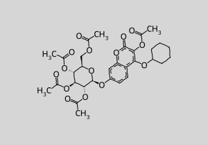 CC(=O)OC[C@H]1O[C@@H](Oc2ccc3c(OC4CCCCC4)c(OC(C)=O)c(=O)oc3c2)[C@H](OC(C)=O)[C@@H](OC(C)=O)[C@@H]1OC(C)=O